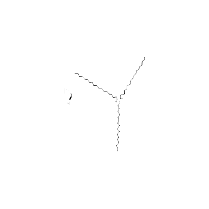 C#CCBr.CCCCCCCCCCCCCCCCCC[N+](C)(CCCCCCCCCCCCCCCCCC)CCCCCCCCCCCCCCCCCC.[Br-]